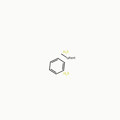 CCCCCC.S.S.c1ccccc1